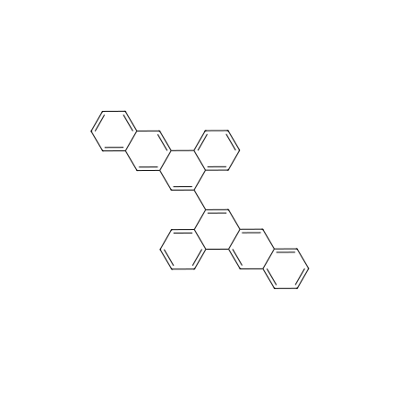 c1ccc2cc3c(cc(-c4cc5cc6ccccc6cc5c5ccccc45)c4ccccc43)cc2c1